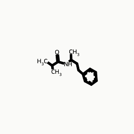 CC(CCc1ccccc1)NC(=O)C(C)C